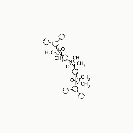 Cc1c(C)n(-c2ccc(-n3c(C)c(C)n(-c4cc(-c5ccccc5)cc(-c5ccccc5)c4)c3=O)cc2)c(=O)n1-c1ccc(-n2c(C)c(C)n(-c3cc(-c4ccccc4)cc(-c4ccccc4)c3)c2=O)cc1